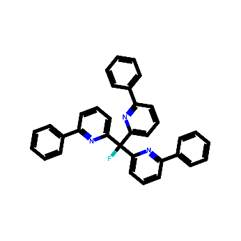 FC(c1cccc(-c2ccccc2)n1)(c1cccc(-c2ccccc2)n1)c1cccc(-c2ccccc2)n1